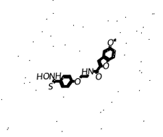 COc1ccc2oc(C(=O)NCCOc3ccc(C(=S)NO)cc3)cc2c1